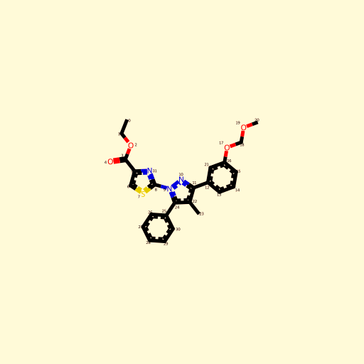 CCOC(=O)c1csc(-n2nc(-c3cccc(OCOC)c3)c(C)c2-c2ccccc2)n1